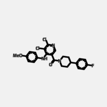 COc1ccc(Nc2c(C(=O)N3CCC(c4ccc(F)cc4)CC3)cnc(Cl)c2Cl)cc1